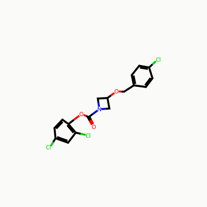 O=C(Oc1ccc(Cl)cc1Cl)N1CC(OCc2ccc(Cl)cc2)C1